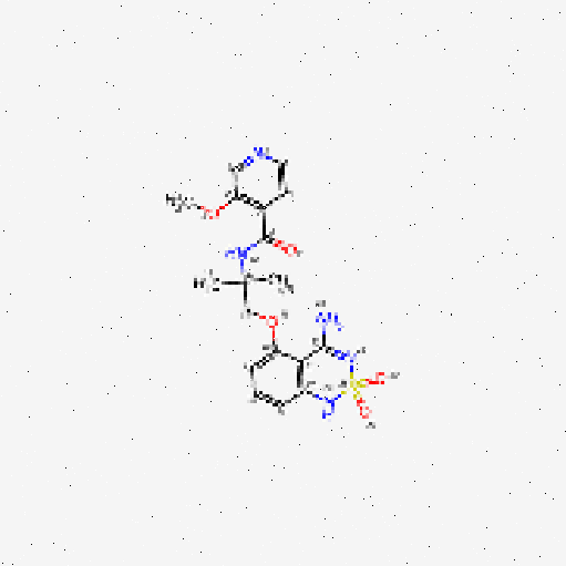 COc1cnccc1C(=O)NC(C)(C)COc1cccc2c1C(N)=NS(=O)(=O)N2